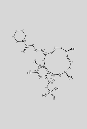 C[C@@H]1C/C=C/[C@H](O)C/C=C/C(=N/OCC(=O)N2CCCCC2)Cc2c(Cl)c(O)cc(OCP(=O)(O)O)c2C(=O)O1